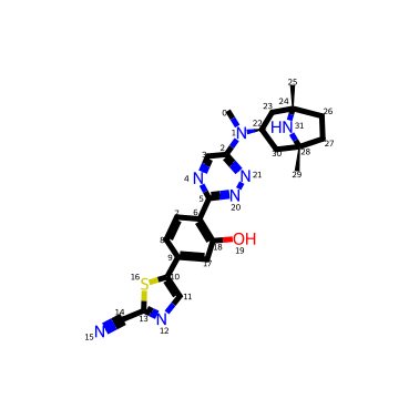 CN(c1cnc(-c2ccc(-c3cnc(C#N)s3)cc2O)nn1)[C@H]1C[C@]2(C)CC[C@](C)(C1)N2